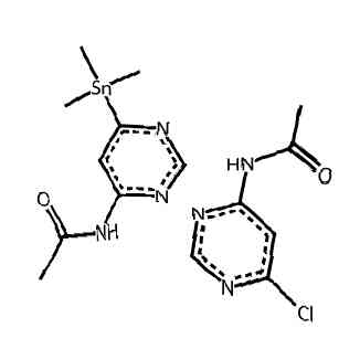 CC(=O)Nc1c[c]([Sn]([CH3])([CH3])[CH3])ncn1.CC(=O)Nc1cc(Cl)ncn1